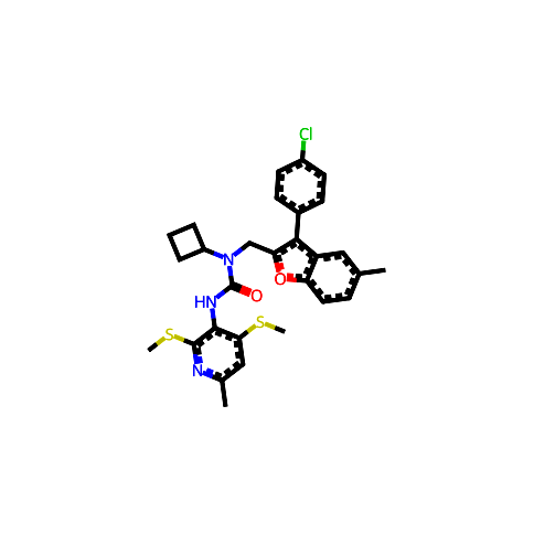 CSc1cc(C)nc(SC)c1NC(=O)N(Cc1oc2ccc(C)cc2c1-c1ccc(Cl)cc1)C1CCC1